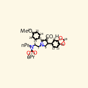 CCCOC(=O)N(CCC)CCN1CC(c2ccc3c(c2)OCO3)[C@H](C(=O)O)[C@H]1c1ccc(OC)cc1